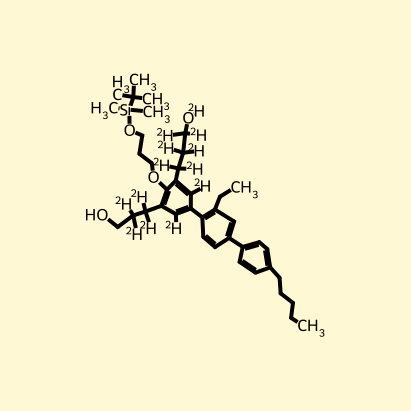 [2H]OC([2H])([2H])C([2H])([2H])C([2H])([2H])c1c([2H])c(-c2ccc(-c3ccc(CCCCC)cc3)cc2CC)c([2H])c(C([2H])([2H])C([2H])([2H])CO)c1OCCCO[Si](C)(C)C(C)(C)C